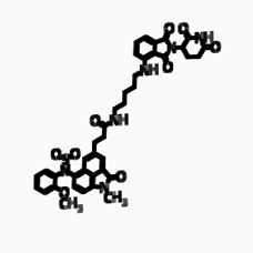 COc1ccccc1N(c1ccc2c3c(cc(CCC(=O)NCCCCCNc4cccc5c4C(=O)N(C4CCC(=O)NC4=O)C5=O)cc13)C(=O)N2C)[SH](=O)=O